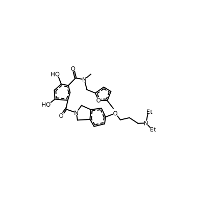 CCN(CC)CCCOc1ccc2c(c1)CN(C(=O)c1cc(C(=O)N(C)Cc3ccc(C)o3)c(O)cc1O)C2